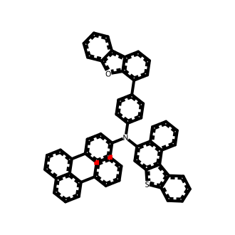 c1ccc(-c2cccc3cccc(-c4ccc(N(c5ccc(-c6cccc7c6oc6ccccc67)cc5)c5cc6sc7ccccc7c6c6ccccc56)cc4)c23)cc1